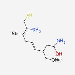 CCC(C/C=C/C(COC)CC(N)O)C(N)CS